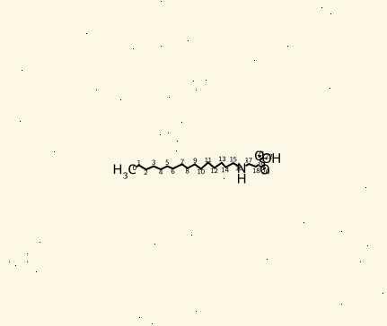 CCCCCCCCCCCCCCCCNCCS(=O)(=O)O